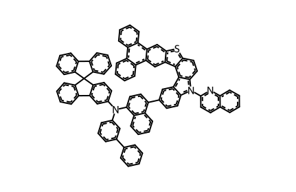 c1ccc(-c2cccc(N(c3ccc4c(c3)-c3ccccc3C43c4ccccc4-c4ccccc43)c3ccc(-c4ccc5c(c4)c4c6c(ccc4n5-c4ccc5ccccc5n4)sc4cc5c7ccccc7c7ccccc7c5cc46)c4ccccc34)c2)cc1